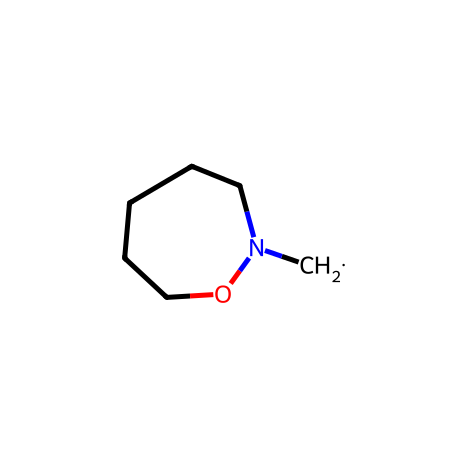 [CH2]N1CCCCCO1